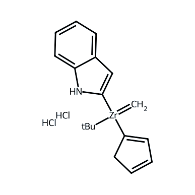 Cl.Cl.[CH2]=[Zr]([C]1=CC=CC1)([c]1cc2ccccc2[nH]1)[C](C)(C)C